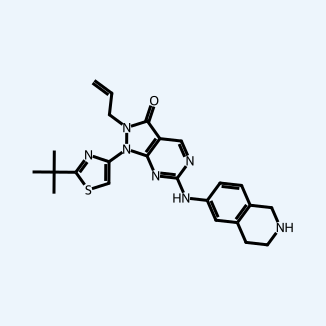 C=CCn1c(=O)c2cnc(Nc3ccc4c(c3)CCNC4)nc2n1-c1csc(C(C)(C)C)n1